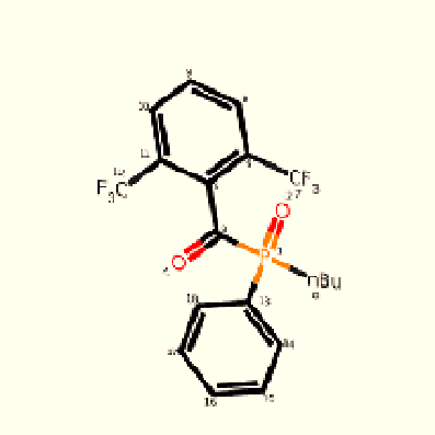 CCCCP(=O)(C(=O)c1c(C(F)(F)F)cccc1C(F)(F)F)c1ccccc1